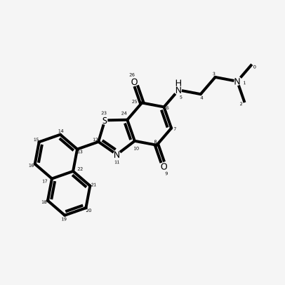 CN(C)CCNC1=CC(=O)c2nc(-c3cccc4ccccc34)sc2C1=O